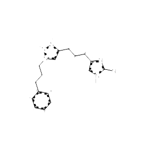 Nc1nc(CCCc2cn(CCCc3ccccc3)nn2)c[nH]1